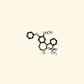 CS(=O)(=O)c1ccccc1C1CNCCc2cc(Sc3ccccc3)c(O)cc21.Cl